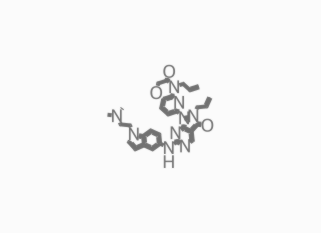 C=CCN1C(=O)COc2ccc(-n3c4nc(Nc5ccc6c(ccn6CCN(C)C)c5)ncc4c(=O)n3CC=C)nc21